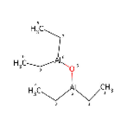 C[CH2][Al]([CH2]C)[O][Al]([CH2]C)[CH2]C